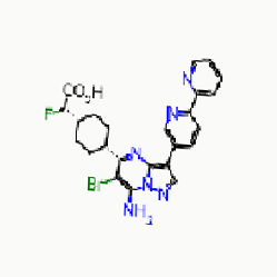 Nc1c(Br)c([C@H]2CC[C@@H](C(F)C(=O)O)CC2)nc2c(-c3ccc(-c4ccccn4)nc3)cnn12